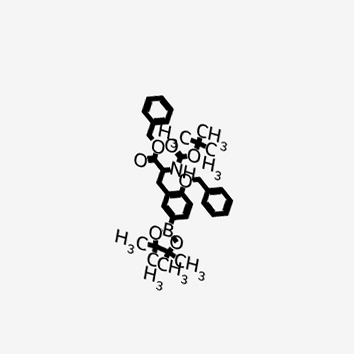 CC(C)(C)OC(=O)NC(Cc1cc(B2OC(C)(C)C(C)(C)O2)ccc1OCc1ccccc1)C(=O)OCc1ccccc1